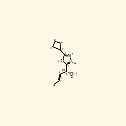 C/C=C/[C@@H](O)c1nnc(C2CCC2)o1